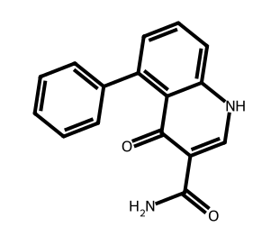 NC(=O)c1c[nH]c2cccc(-c3ccccc3)c2c1=O